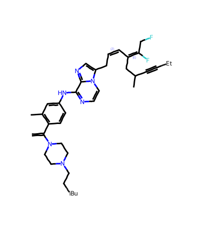 C=C(c1ccc(Nc2nccn3c(C/C=C\C(CC(C)C#CCC)=C(\F)CF)cnc23)cc1C)N1CCN(CCC(C)CC)CC1